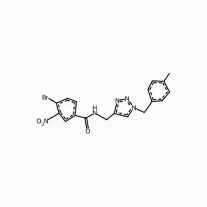 Cc1ccc(Cn2cc(CNC(=O)c3ccc(Br)c([N+](=O)[O-])c3)nn2)cc1